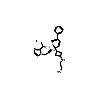 CC(O)c1nccn1CC#C[C@@]1(C2CC(NCCO)C2)C=CC(c2ccccc2)=CC1